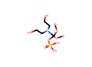 CCOC(OCC)(OP(=O)(O)O)N(CCO)CCO